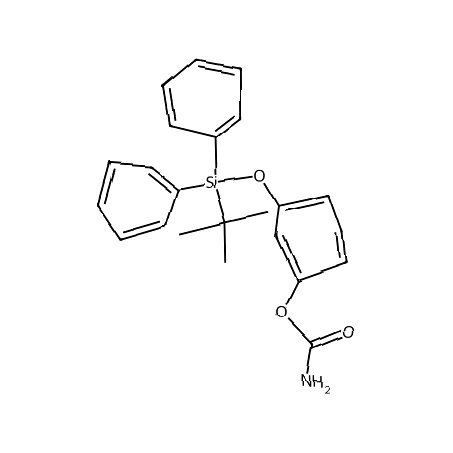 CC(C)(C)[Si](Oc1cccc(OC(N)=O)c1)(c1ccccc1)c1ccccc1